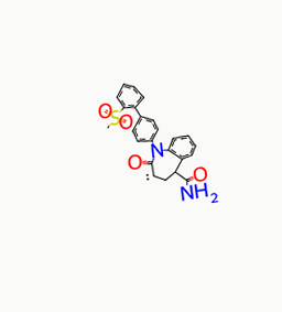 CS(=O)(=O)c1ccccc1-c1ccc(N2C(=O)[C]CC(C(N)=O)c3ccccc32)cc1